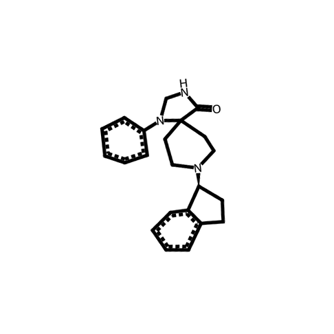 O=C1NCN(c2ccccc2)C12CCN([C@H]1CCc3ccccc31)CC2